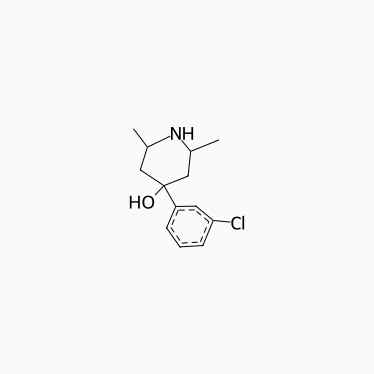 CC1CC(O)(c2cccc(Cl)c2)CC(C)N1